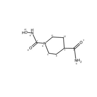 NC(=O)C1CCN(C(=O)NO)CC1